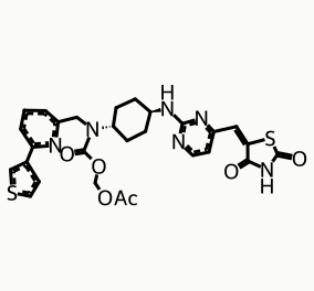 CC(=O)OCOC(=O)N(Cc1cccc(-c2ccsc2)n1)[C@H]1CC[C@H](Nc2nccc(C=C3SC(=O)NC3=O)n2)CC1